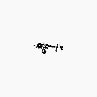 COc1ccc(CN(CCCCCNC(=O)OC(C)(C)C)S(=O)(=O)c2cccs2)cc1